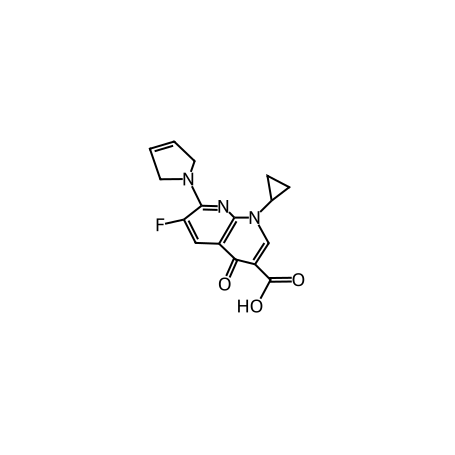 O=C(O)c1cn(C2CC2)c2nc(N3CC=CC3)c(F)cc2c1=O